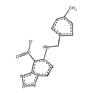 Cc1ccc(CNc2ccc3nonc3c2[N+](=O)[O-])cc1